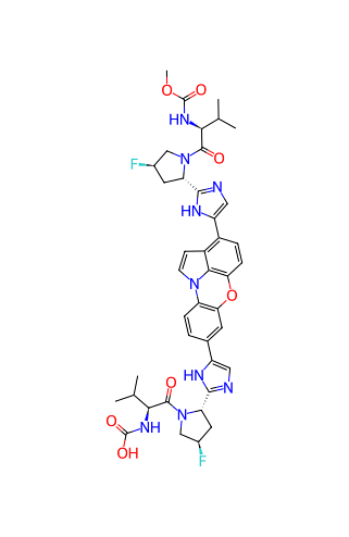 COC(=O)N[C@H](C(=O)N1C[C@H](F)C[C@H]1c1ncc(-c2ccc3c4c2ccn4-c2ccc(-c4cnc([C@@H]5C[C@@H](F)CN5C(=O)[C@@H](NC(=O)O)C(C)C)[nH]4)cc2O3)[nH]1)C(C)C